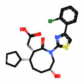 O=C(O)C[C@@H]1C(=O)N(c2nc(-c3ccccc3Cl)cs2)C[C@H](O)CC[C@@H]1C1CCCC1